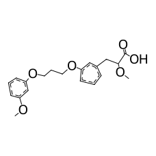 COc1cccc(OCCCOc2cccc(CC(OC)C(=O)O)c2)c1